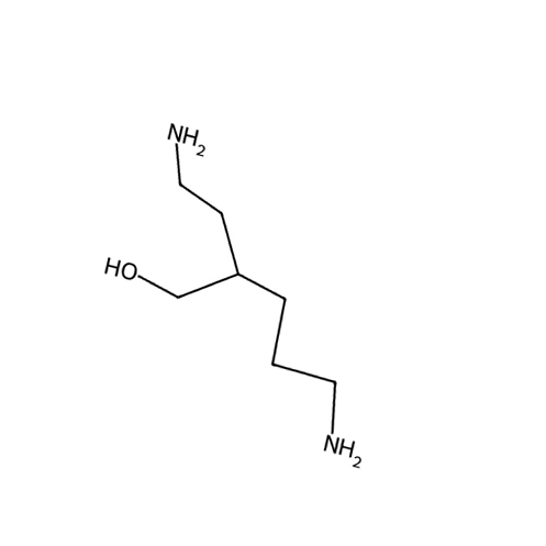 NCCCC(CO)CCN